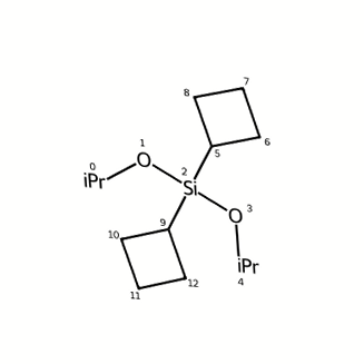 CC(C)O[Si](OC(C)C)(C1CCC1)C1CCC1